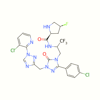 O=C(NC(Cn1c(-c2ccc(Cl)cc2)nn(Cc2ncn(-c3ncccc3Cl)n2)c1=O)C(F)(F)F)[C@@H]1C[C@H](F)CN1